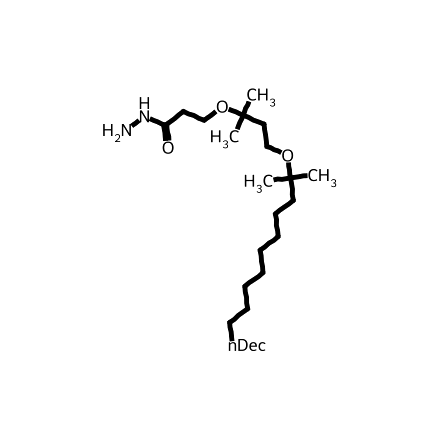 CCCCCCCCCCCCCCCCCCC(C)(C)OCCC(C)(C)OCCC(=O)NN